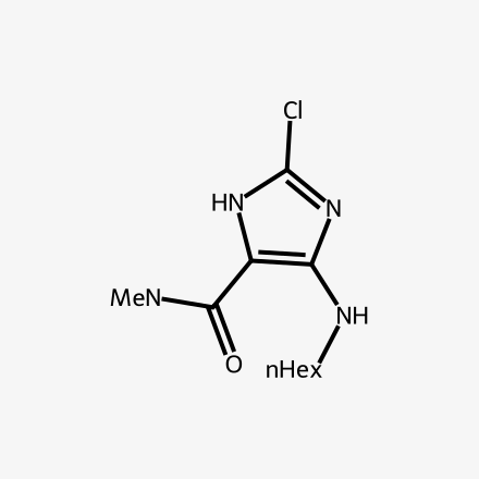 CCCCCCNc1nc(Cl)[nH]c1C(=O)NC